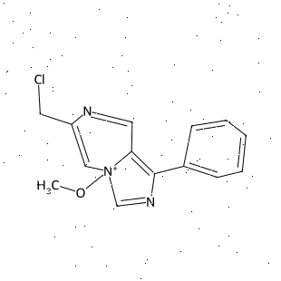 CO[N+]12C=NC(c3ccccc3)=C1C=NC(CCl)=C2